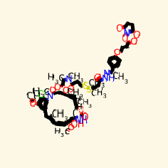 COc1cc2cc(c1Cl)N(C)C(=O)C[C@H](OC(=O)[C@H](C)N(C)C(=O)CCSSC(C)(C)CC(=O)N/N=C(\C)c1ccc(OCCCC(=O)ON3C(=O)CCC3=O)cc1)[C@@]1(C)C[C@H]1[C@H](C)[C@@H]1C[C@@](O)(NC(=O)O1)[C@H](OC)/C=C/C=C(\C)C2